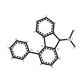 [CH3][Zr]([CH3])[CH]1c2ccccc2-c2c(-c3ccccc3)cccc21